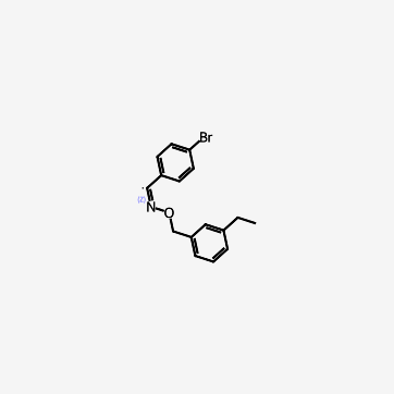 CCc1cccc(CO/N=[C]\c2ccc(Br)cc2)c1